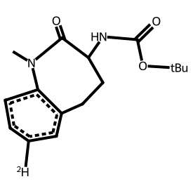 [2H]c1ccc2c(c1)CCC(NC(=O)OC(C)(C)C)C(=O)N2C